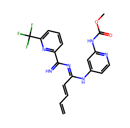 C=C/C=C/C(=N\C(=N)c1cccc(C(F)(F)F)n1)Nc1ccnc(NC(=O)OC)c1